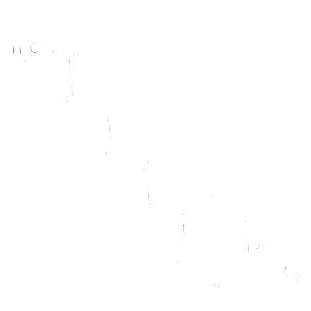 C=CCCCCCC1CCC(I)CC1